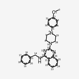 COc1ccc(N2CCN(c3nc(NCc4ccccc4)c4ccccc4n3)CC2)cc1